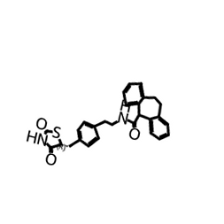 O=C1NC(=O)[C@@H](Cc2ccc(CCNC(=O)C3c4ccccc4CCc4ccccc43)cc2)S1